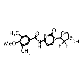 COc1c(C)cc(C(=O)Nc2ccn(C3OC[C@@H](O)C3(F)F)c(=O)n2)cc1C